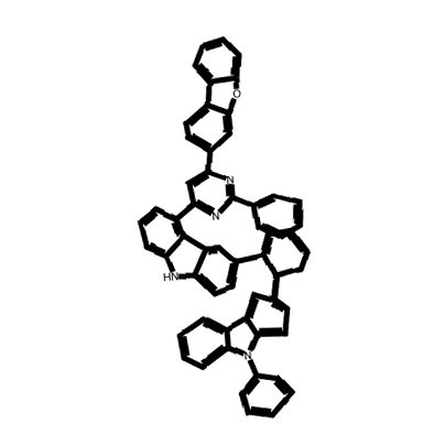 C1=CCC(c2ccc3c(c2)c2ccccc2n3-c2ccccc2)C(c2ccc3[nH]c4cccc(-c5cc(-c6ccc7c(c6)oc6ccccc67)nc(-c6ccccc6)n5)c4c3c2)=C1